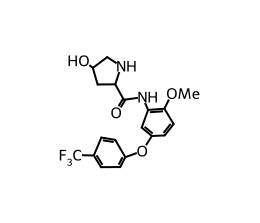 COc1ccc(Oc2ccc(C(F)(F)F)cc2)cc1NC(=O)C1CC(O)CN1